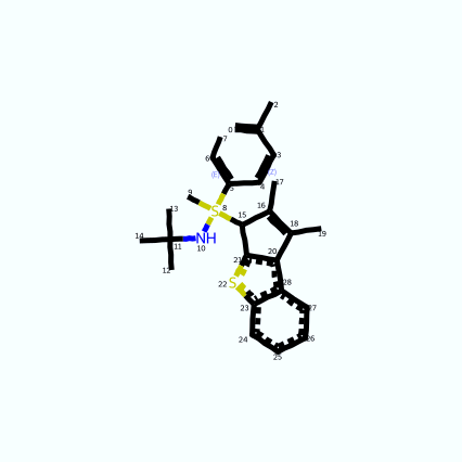 C=C(C)/C=C\C(=C/C)S(C)(NC(C)(C)C)C1C(C)=C(C)c2c1sc1ccccc21